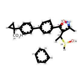 Cc1noc(-c2ccc(-c3ccc(C4(C(=O)O)CC4)cc3)cc2)c1C(C)[S+](C)[O-].c1ccccc1